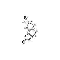 O=C1Cc2c(ccc3ccc(CBr)cc23)O1